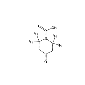 [2H]C1([2H])CC(=O)CC([2H])([2H])N1C(=O)O